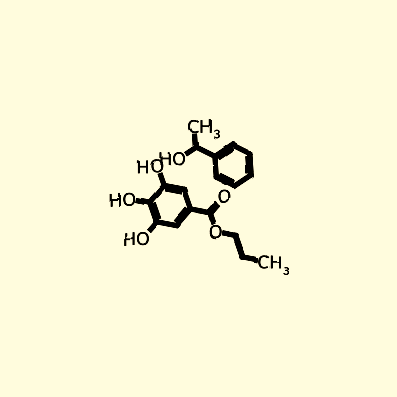 CC(O)c1ccccc1.CCCOC(=O)c1cc(O)c(O)c(O)c1